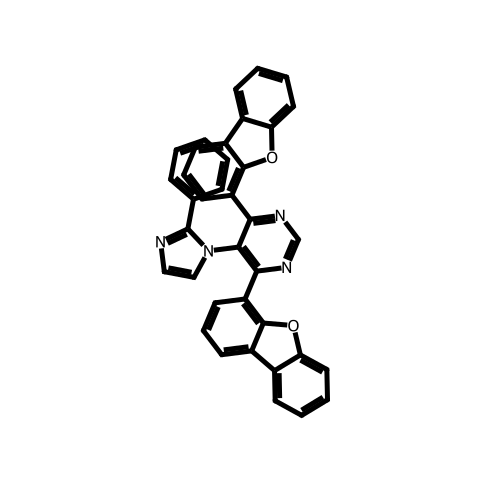 c1ccc(-c2nccn2-c2c(-c3cccc4c3oc3ccccc34)ncnc2-c2cccc3c2oc2ccccc23)cc1